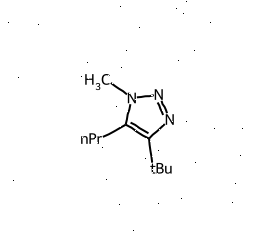 CCCc1c(C(C)(C)C)nnn1C